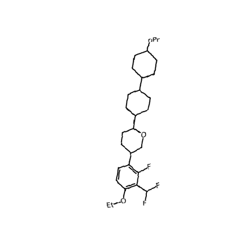 CCCC1CCC(C2CCC(C3CCC(c4ccc(OCC)c(C(F)F)c4F)CO3)CC2)CC1